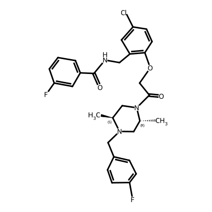 C[C@@H]1CN(Cc2ccc(F)cc2)[C@@H](C)CN1C(=O)COc1ccc(Cl)cc1CNC(=O)c1cccc(F)c1